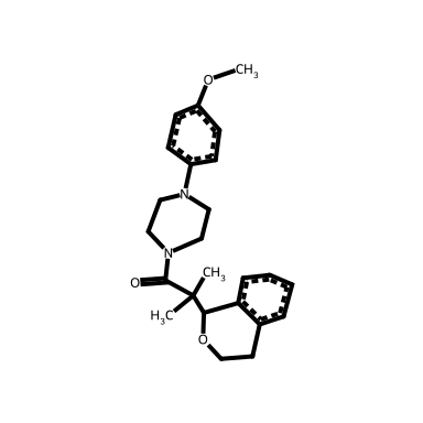 COc1ccc(N2CCN(C(=O)C(C)(C)C3OCCc4ccccc43)CC2)cc1